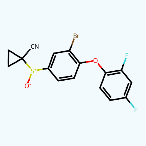 N#CC1([S+]([O-])c2ccc(Oc3ccc(F)cc3F)c(Br)c2)CC1